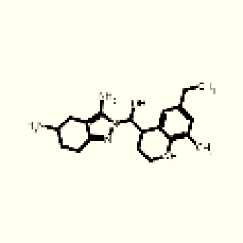 CCc1cc(C)c2c(c1)C(C(O)n1nc3c(c1N)CC(N)CC3)CCN2